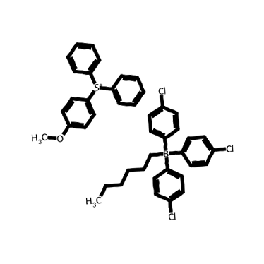 CCCCCC[B-](c1ccc(Cl)cc1)(c1ccc(Cl)cc1)c1ccc(Cl)cc1.COc1ccc([S+](c2ccccc2)c2ccccc2)cc1